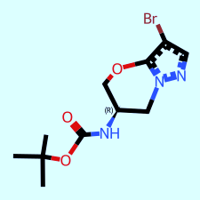 CC(C)(C)OC(=O)N[C@H]1COc2c(Br)cnn2C1